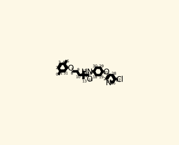 Cc1ccc(C)c(OCCCC(C)(C)C(=O)NC2CCC(Oc3cncc(Cl)c3)CC2)c1